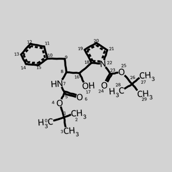 CC(C)(C)OC(=O)NC(Cc1ccccc1)C(O)c1cccn1C(=O)OC(C)(C)C